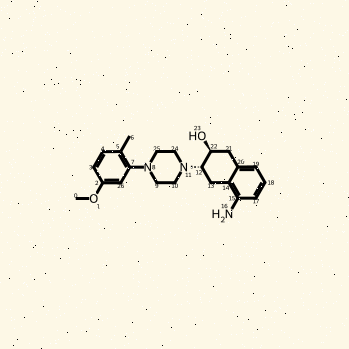 COc1ccc(C)c(N2CCN([C@H]3Cc4c(N)cccc4C[C@@H]3O)CC2)c1